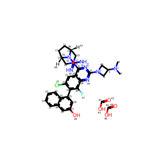 CN(C)C1CN(c2nc(N3C[C@H]4CC[C@@H](C3)N4C(=N)N)c3cc(Cl)c(-c4cc(O)cc5ccccc45)c(F)c3n2)C1.O=CO.O=CO